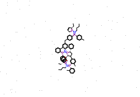 CCCCN(P(c1ccc(C)cc1)c1ccc(Cc2ccc3c(c2)-c2ccccc2P(c2ccccc2)N3P2[C@H](c3ccccc3)C(c3ccc(C)c(P(c4ccccc4C)N(CCCC)P4CC=C[C@H]4CC)c3)C[C@H]2c2ccccc2)cc1)P1CC=C[C@H]1CC